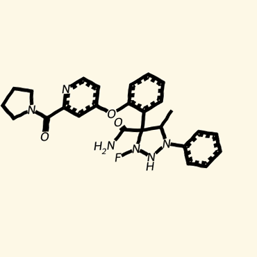 CC1N(c2ccccc2)NN(F)C1(C(N)=O)c1ccccc1Oc1ccnc(C(=O)N2CCCC2)c1